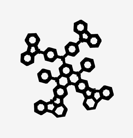 C1=Cc2c3n(c4cc5c(cc24)B2c4cc6c7c8n(c6cc4N(c4ccccc4)c4cc(N(c6ccc(-n9c%10ccccc%10c%10ccccc%109)cc6)c6ccc(-n9c%10ccccc%10c%10ccccc%109)cc6)cc(c42)N5c2ccccc2)-c2ccccc2C8CC=C7)-c2ccccc2C3C1